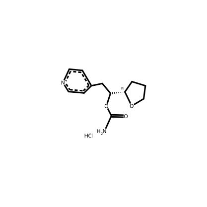 Cl.NC(=O)OC(Cc1ccncc1)[C@@H]1CCCO1